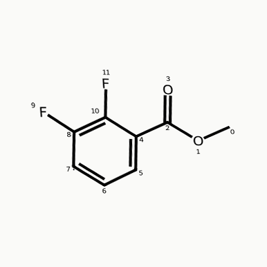 COC(=O)c1cc[c]c(F)c1F